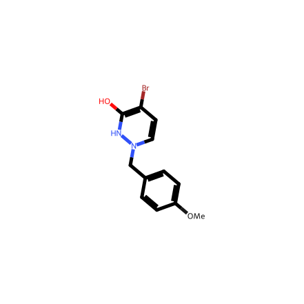 COc1ccc(CN2C=CC(Br)=C(O)N2)cc1